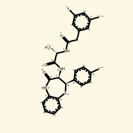 C[C@H](NC(=O)Cc1cc(F)cc(F)c1)C(=O)N[C@@H]1C(=O)Nc2ccccc2S[C@@H]1c1ccc(F)cc1